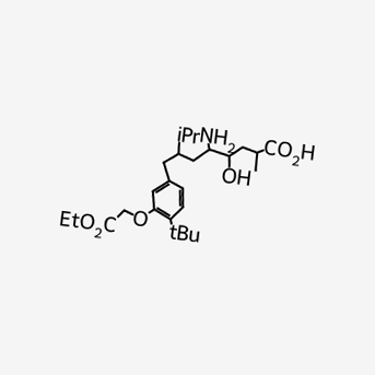 CCOC(=O)COc1cc(CC(CC(N)C(O)CC(C)C(=O)O)C(C)C)ccc1C(C)(C)C